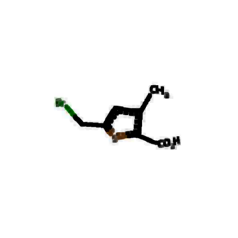 Cc1cc(CBr)sc1C(=O)O